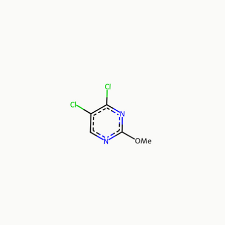 COc1ncc(Cl)c(Cl)n1